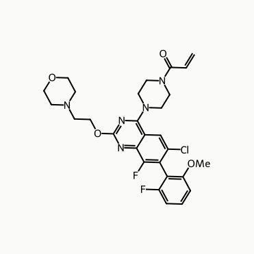 C=CC(=O)N1CCN(c2nc(OCCN3CCOCC3)nc3c(F)c(-c4c(F)cccc4OC)c(Cl)cc23)CC1